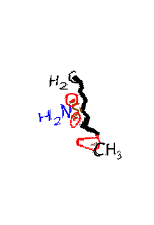 C=CCCC(CCCOC)S(N)(=O)=O